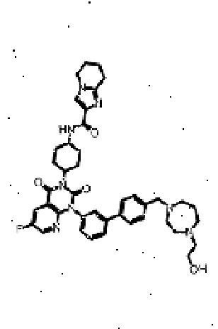 O=C(NC1CCC(n2c(=O)c3cc(F)cnc3n(-c3cccc(-c4ccc(CN5CCCN(CCO)CC5)cc4)c3)c2=O)CC1)c1cn2c(n1)CCCC2